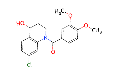 COc1ccc(C(=O)N2CCC(O)c3ccc(Cl)cc32)cc1OC